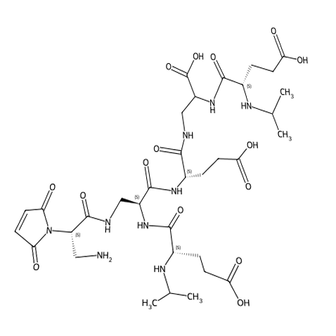 CC(C)N[C@@H](CCC(=O)O)C(=O)NC(CNC(=O)[C@H](CCC(=O)O)NC(=O)[C@H](CNC(=O)[C@H](CN)N1C(=O)C=CC1=O)NC(=O)[C@H](CCC(=O)O)NC(C)C)C(=O)O